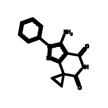 Nc1c2c(nn1-c1ccccc1)C1(CC1)C(=O)NC2=O